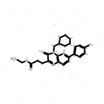 CCOC(=O)CCc1nc2ccc(-c3ccc(F)cc3)nc2n(CC2CCCCC2)c1=O